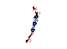 C=CC(=O)OCCCCOc1ccc(/N=N/c2ccc(/N=N/c3ccc(C(CC)CCOC(=O)C=C)cc3C)cc2)cc1